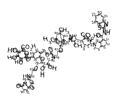 Cc1c(-c2ccc(N3CCc4cccc(C(=O)Nc5nc6ccccc6s5)c4C3)nc2C(=O)O)cnn1CC12CC3(C)CC(C)(C1)CC(OCCN(CC[C@H](O)CO)C(=O)OCc1ccc(O[C@@H]4O[C@H](C(=O)O)[C@@H](O)[C@H](O)[C@H]4O)cc1OCCOCCNC(=O)CN1C(=O)C=CC1=O)(C3)C2